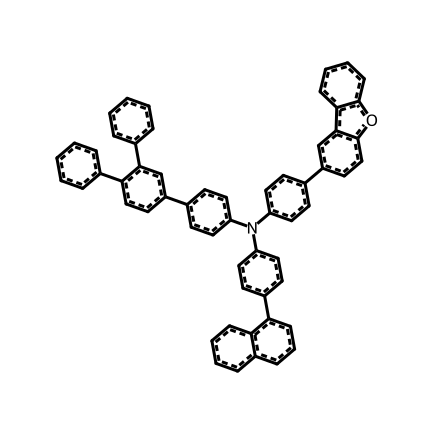 c1ccc(-c2ccc(-c3ccc(N(c4ccc(-c5ccc6oc7ccccc7c6c5)cc4)c4ccc(-c5cccc6ccccc56)cc4)cc3)cc2-c2ccccc2)cc1